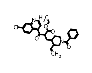 C=CC1CN(C(=O)c2ccccc2)CCC1CC(C(=O)OCC)C(=O)c1ccnc2cc(Cl)ccc12